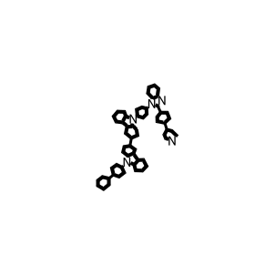 c1ccc(-c2ccc(-n3c4ccccc4c4cc(-c5ccc6c(c5)c5ccccc5n6-c5ccc(-n6c(-c7ccc(-c8ccncc8)cc7)nc7ccccc76)cc5)ccc43)cc2)cc1